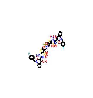 CS(=O)(=O)N(Cc1csc2c1S(=O)(=O)N=C(C1=C(O)C3C4C=CC(C4)C3N(Cc3ccc(F)cc3)C1=O)N2)Cc1csc2c1S(=O)(=O)N=C(C1=C(O)C3C4C=CC(C4)C3N(Cc3ccc(F)cc3)C1=O)N2